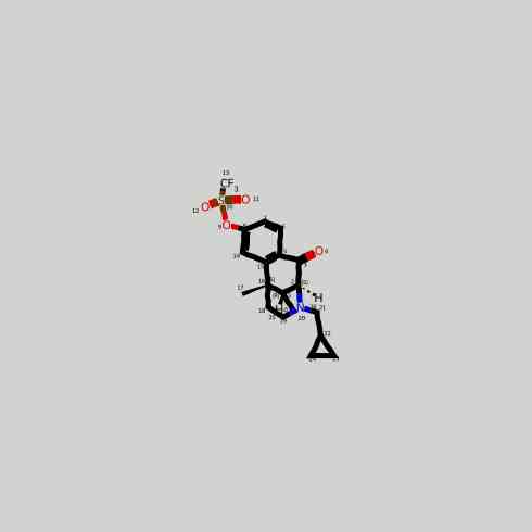 C[C@H]1[C@H]2C(=O)c3ccc(OS(=O)(=O)C(F)(F)F)cc3[C@@]1(C)CCN2CC1CC1